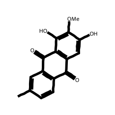 COc1c(O)cc2c(c1O)C(=O)c1cc(C)ccc1C2=O